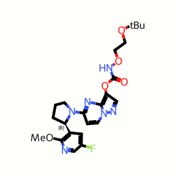 COc1ncc(F)cc1[C@H]1CCCN1c1ccn2ncc(OC(=O)NOCCOC(C)(C)C)c2n1